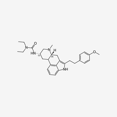 CCN(CC)C(=O)N[C@H]1CC2c3cccc4[nH]c(CCc5ccc(OC)cc5)c(c34)C[C@H]2N(C)C1